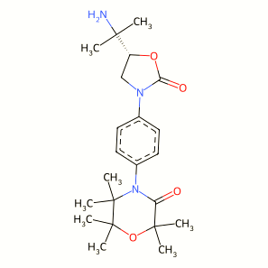 CC1(C)OC(C)(C)C(C)(C)N(c2ccc(N3C[C@H](C(C)(C)N)OC3=O)cc2)C1=O